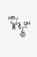 C[SiH](C)C(CO)SSC(CO)[SiH](C)C